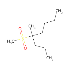 CCCCC(C)(CCC)S(C)(=O)=O